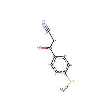 CSc1ccc(C(=O)CC#N)cc1